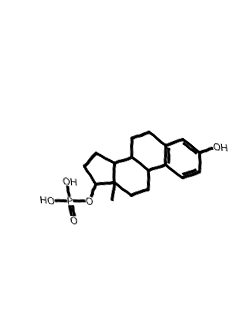 CC12CCC3c4ccc(O)cc4CCC3C1CCC2OP(=O)(O)O